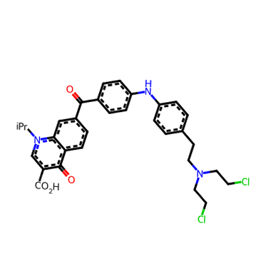 CC(C)n1cc(C(=O)O)c(=O)c2ccc(C(=O)c3ccc(Nc4ccc(CCN(CCCl)CCCl)cc4)cc3)cc21